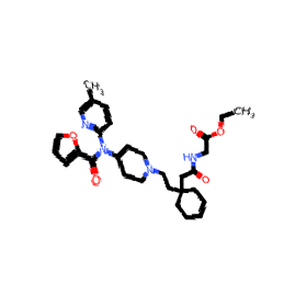 CCOC(=O)CNC(=O)CC1(CCN2CCC(N(C(=O)c3ccco3)c3ccc(C)cn3)CC2)CCCCC1